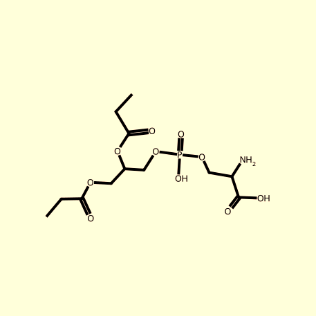 CCC(=O)OCC(COP(=O)(O)OCC(N)C(=O)O)OC(=O)CC